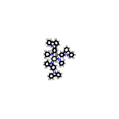 C1=Cc2c3n(c4cc5c(cc24)B2c4cc6c7cccc8c9ccccc9n(c6cc4N(c4ccccc4)C4CC(n6c9ccccc9c9cc(-n%10c%11ccccc%11c%11ccccc%11%10)ccc96)CC(C24)N5c2ccccc2)c87)-c2ccccc2C3C1